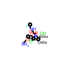 COc1ccc(CN2C(=O)C(CC(=O)NCc3ccccc3F)OC(c3cccc(OCCCN)c3OC)c3cc(Cl)ccc32)c(OC)c1.Cl